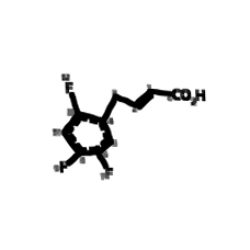 O=C(O)/C=C/Cc1cc(F)c(F)cc1F